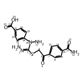 N/N=C(/SCC(=O)c1ccc(C(N)=O)cc1)N(N)c1ccc(C(=O)O)cc1